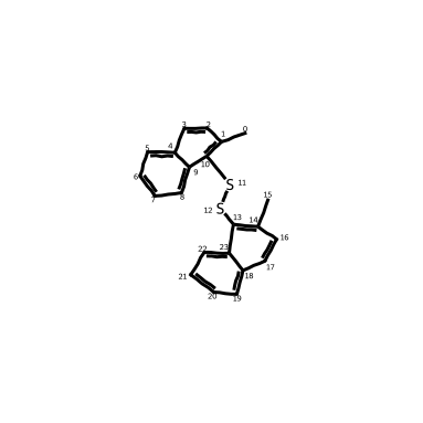 Cc1ccc2ccccc2c1SSc1c(C)ccc2ccccc12